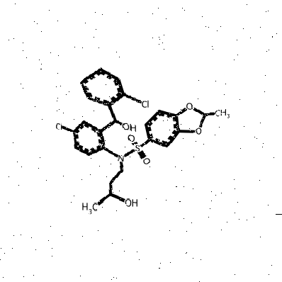 CC(O)CCN(c1ccc(Cl)cc1C(O)c1ccccc1Cl)S(=O)(=O)c1ccc2c(c1)OC(C)O2